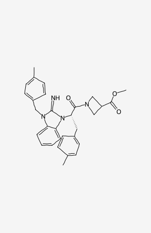 COC(=O)C1CN(C(=O)[C@H](Cc2ccc(C)cc2)n2c(=N)n(Cc3ccc(C)cc3)c3ccccc32)C1